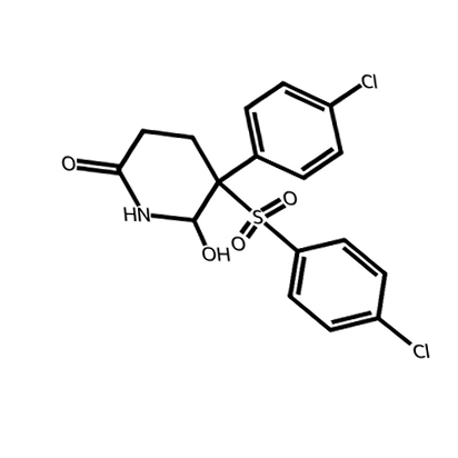 O=C1CCC(c2ccc(Cl)cc2)(S(=O)(=O)c2ccc(Cl)cc2)C(O)N1